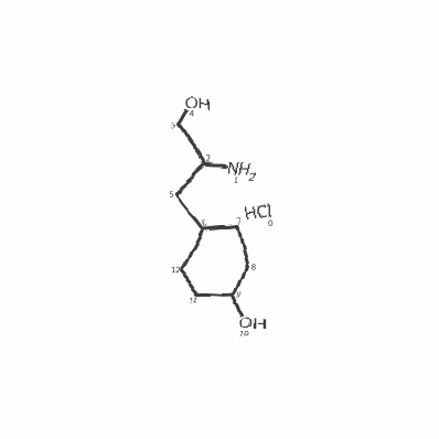 Cl.NC(CO)CC1CCC(O)CC1